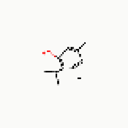 Cc1ccc(C(C)C)c(O)c1.[Li]